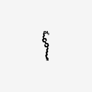 CCCC[C@H]1CC[C@H]([C@H]2CC[C@H](CCC=CC=CC#N)CC2)CC1